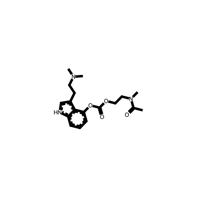 CC(=O)N(C)CCOC(=O)Oc1cccc2[nH]cc(CCN(C)C)c12